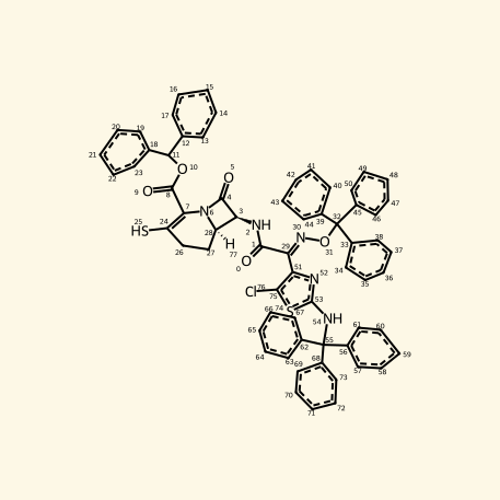 O=C(N[C@@H]1C(=O)N2C(C(=O)OC(c3ccccc3)c3ccccc3)=C(S)CC[C@H]12)C(=NOC(c1ccccc1)(c1ccccc1)c1ccccc1)c1nc(NC(c2ccccc2)(c2ccccc2)c2ccccc2)sc1Cl